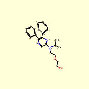 CC(C)N(CCOCCO)c1cnc(-c2ccccc2)c(-c2ccccc2)n1